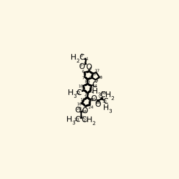 C=CC(=O)Oc1ccc(-c2cc(C)c(-c3ccc(OC(=O)C(=C)C)cc3OC(=O)C(=C)C)cc2C)c2c1CCC2